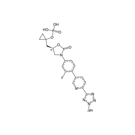 CCCn1nnc(-c2ccc(-c3ccc(N4C[C@@H](CC5(OP(=O)(O)O)CC5)OC4=O)cc3F)cn2)n1